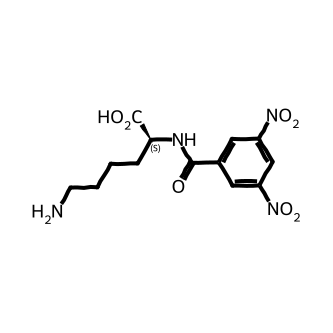 NCCCC[C@H](NC(=O)c1cc([N+](=O)[O-])cc([N+](=O)[O-])c1)C(=O)O